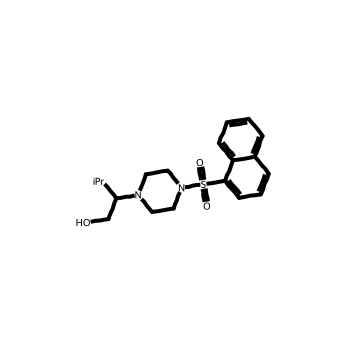 CC(C)C(CO)N1CCN(S(=O)(=O)c2cccc3ccccc23)CC1